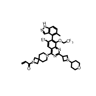 C=CC(=O)N1CC2(CCN(c3nc(C4CN(C5CCOCC5)C4)nc4c(OCC(F)(F)F)c(-c5c(C)ccc6[nH]ncc56)c(CC)cc34)CC2)C1